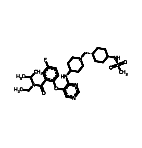 CCN(C(=O)c1cc(F)ccc1Oc1cncnc1NC1CCN(C[C@H]2CC[C@H](NS(C)(=O)=O)CC2)CC1)C(C)C